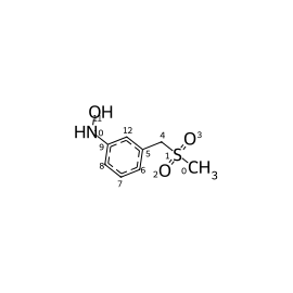 CS(=O)(=O)Cc1cccc(NO)c1